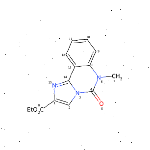 CCOC(=O)c1cn2c(=O)n(C)c3ccccc3c2n1